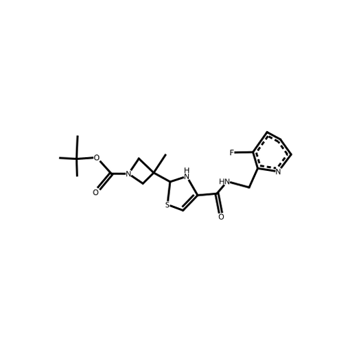 CC(C)(C)OC(=O)N1CC(C)(C2NC(C(=O)NCc3ncccc3F)=CS2)C1